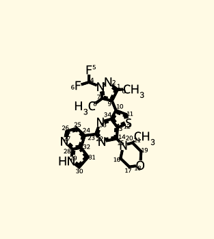 Cc1nn(C(F)F)c(C)c1-c1csc2c(N3CCOC[C@H]3C)nc(-c3ccnc4[nH]ccc34)nc12